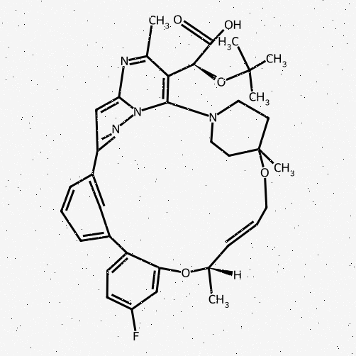 Cc1nc2cc3nn2c(c1[C@H](OC(C)(C)C)C(=O)O)N1CCC(C)(CC1)OC/C=C/[C@H](C)Oc1cc(F)ccc1-c1cccc-3c1